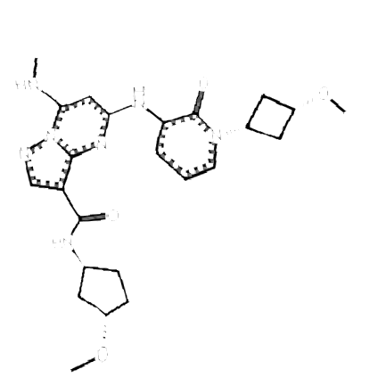 CNc1cc(Nc2cccn([C@H]3C[C@@H](OC)C3)c2=O)nc2c(C(=O)N[C@H]3CC[C@H](OC)C3)cnn12